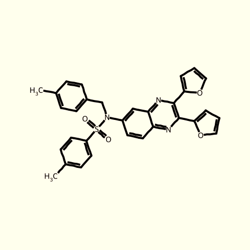 Cc1ccc(CN(c2ccc3nc(-c4ccco4)c(-c4ccco4)nc3c2)S(=O)(=O)c2ccc(C)cc2)cc1